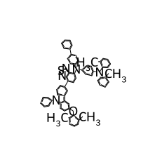 Cc1ccccc1N(c1ccc(N(c2ccc(-c3ccccc3)cc2)c2ccc(-c3ccc4c(c3)c3cc(Oc5c(C)cccc5C)ccc3n4-c3ccccc3)c3nsnc23)cc1)c1ccccc1C